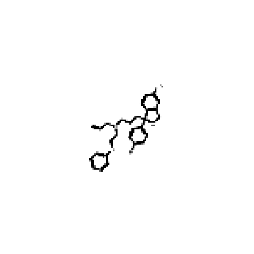 C=CCN(CCCC1(c2ccc(F)cc2)OCc2cc(C#N)ccc21)CCOc1ccccc1